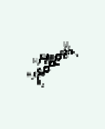 C=C(C)C(=O)Oc1ccc(-c2cc(OC(O)C(=C)C)c(-c3ccc(OC(=O)C(=C)C)cc3)cc2F)cc1